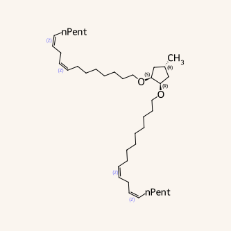 CCCCC/C=C\C/C=C\CCCCCCCCO[C@@H]1C[C@@H](C)C[C@@H]1OCCCCCCC/C=C\C/C=C\CCCCC